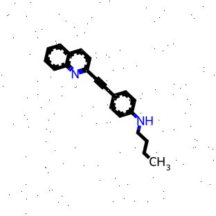 CCCCNc1ccc(C#Cc2ccc3ccccc3n2)cc1